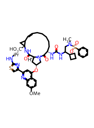 COc1ccc2c(O[C@@H]3C[C@H]4C(=O)N[C@]5(C(=O)O)CC5/C=C\CCCCC[C@H](NC(=O)NC(CN(C)S(=O)(=O)c5ccccc5)C5CCC5)C(=O)N4C3)cc(-c3csc(NC(C)C)n3)nc2c1